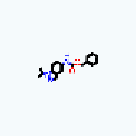 CC(C)n1ncc2cc(NC(=O)OCc3ccccc3)ccc21